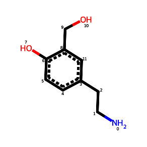 NCCc1ccc(O)c(CO)c1